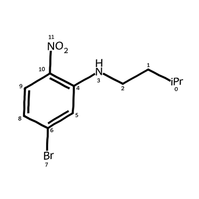 CC(C)CCNc1cc(Br)ccc1[N+](=O)[O-]